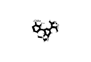 COc1cccc(-c2cc(-c3c(C)noc3C)cc3ncn(C)c23)c1F